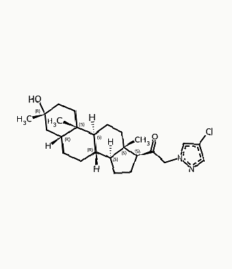 C[C@@]1(O)CC[C@@]2(C)[C@H](CC[C@@H]3[C@@H]2CC[C@]2(C)[C@@H](C(=O)Cn4cc(Cl)cn4)CC[C@@H]32)C1